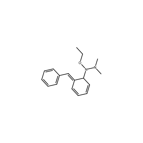 CCON(C1C=CC=CC1=Cc1ccccc1)N(C)C